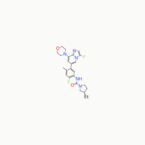 CC[C@@H]1CCN(C(=O)Nc2cc(-c3cc(N4CCOCC4)c4ncc(F)n4c3)c(C)cc2F)C1